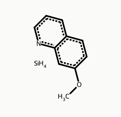 COc1ccc2cccnc2c1.[SiH4]